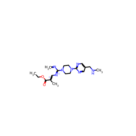 C=N/C(=N\C=C(/C)C(=O)OCC)N1CCN(c2ncc(CNC)cn2)CC1